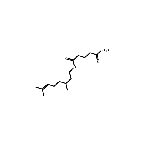 CCCCCCCC(=O)CCCC(=O)OCCC(C)CCC=C(C)C